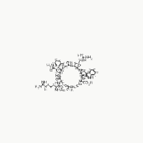 CC(=O)NC(CCCNC(=N)N)C(=O)N[C@H]1CCC(=O)NCCCC(C(=O)O)NC(=O)[C@H](Cc2c[nH]c3ccccc23)NC(=O)[C@H](CCCNC(=N)N)NC(=O)[C@@H](Cc2ccccc2)NC(=O)[C@H](CCC(N)=O)NC1=O